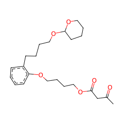 CC(=O)CC(=O)OCCCCOc1ccccc1CCCCOC1CCCCO1